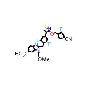 COCCn1c(Cc2c(F)cc(-c3csnc3OCc3ccc(C#N)cc3F)cc2F)nc2ccc(C(=O)O)cc21